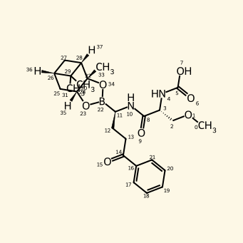 COC[C@@H](NC(=O)O)C(=O)N[C@@H](CCC(=O)c1ccccc1)B1O[C@@H]2C[C@@H]3C[C@@H](C3(C)C)[C@]2(C)O1